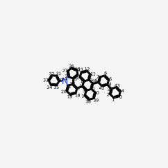 c1ccc(-c2cccc(-c3c4ccccc4c(-c4cccc5c4c4ccccc4n5-c4ccccc4)c4ccccc34)c2)cc1